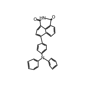 O=C1NC(=O)c2ccc(-c3ccc(N(c4ccccc4)c4ccccc4)cc3)c3cccc1c23